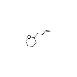 C=CCCC1CCCCO1